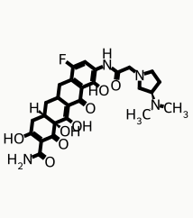 CN(C)[C@@H]1CCN(CC(=O)Nc2cc(F)c3c(c2O)C(=O)C2=C(O)[C@]4(O)C(=O)C(C(N)=O)=C(O)C[C@@H]4CC2C3)C1